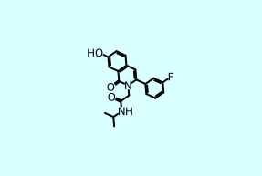 CC(C)NC(=O)Cn1c(-c2cccc(F)c2)cc2ccc(O)cc2c1=O